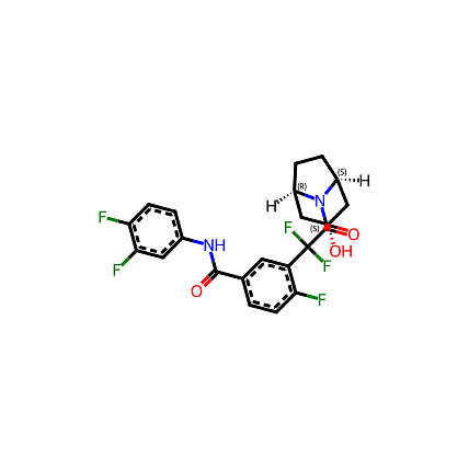 O=C(Nc1ccc(F)c(F)c1)c1ccc(F)c(C(F)(F)C(=O)N2[C@@H]3CC[C@H]2C[C@H](O)C3)c1